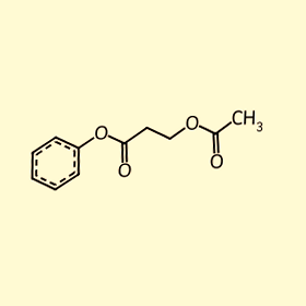 CC(=O)OCCC(=O)Oc1ccccc1